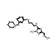 Cn1nc(/C=N/O)nc1NCCCOc1cccc(CN2CCCCC2)c1